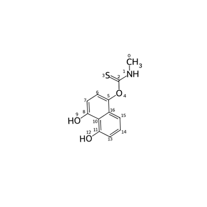 CNC(=S)Oc1ccc(O)c2c(O)cccc12